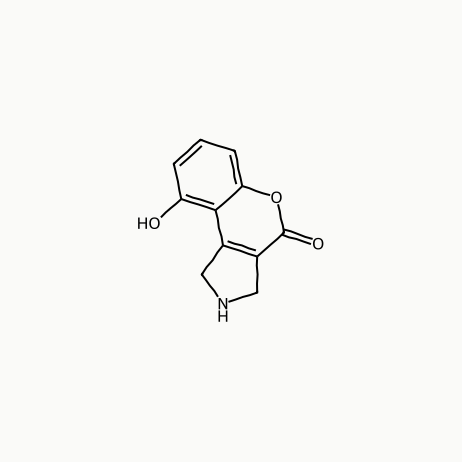 O=c1oc2cccc(O)c2c2c1CNC2